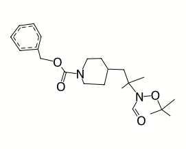 CC(C)(C)ON(C=O)C(C)(C)CC1CCN(C(=O)OCc2ccccc2)CC1